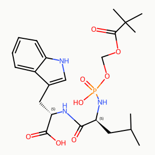 CC(C)C[C@H](NP(=O)(O)OCOC(=O)C(C)(C)C)C(=O)N[C@@H](Cc1c[nH]c2ccccc12)C(=O)O